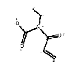 C=CC(=O)N(CC)C([O])=O